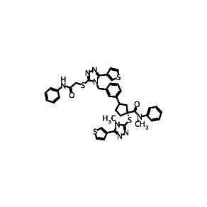 CN(C(=O)[C@@]1(Sc2nnc(-c3ccsc3)n2C)CCC(c2cccc(Cn3c(SCC(=O)Nc4ccccc4)nnc3-c3ccsc3)c2)C1)c1ccccc1